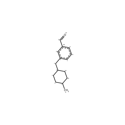 CC1CCC(Cc2cccc(C=O)c2)CC1